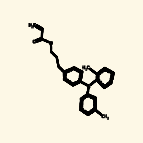 C=CC(=O)OCCCc1ccc(N(c2cccc(C)c2)c2ccccc2C)cc1